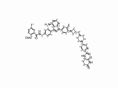 COc1ccc(F)cc1C(=O)NCc1ccc(-c2nn(-c3ccc(N4CC(CN5CCN(c6ccc(C(=O)NC7CCC(=O)NC7=O)nc6)CC5)C4)c(F)c3)c3ncnc(N)c23)cc1